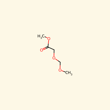 COCOCC(=O)OC